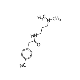 CN(C)CCCNC(=O)Cc1ccc(C#N)cc1